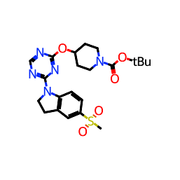 CC(C)(C)OC(=O)N1CCC(Oc2ncnc(N3CCc4cc(S(C)(=O)=O)ccc43)n2)CC1